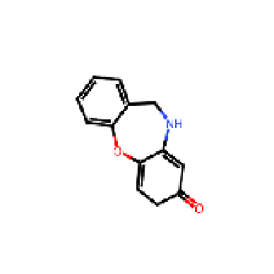 O=C1C=C2NCc3ccccc3OC2=CC1